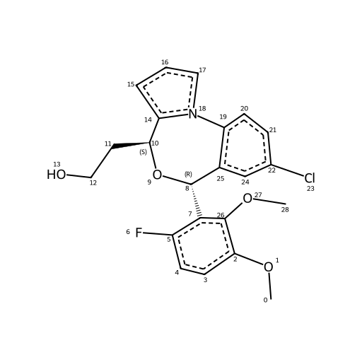 COc1ccc(F)c([C@@H]2O[C@@H](CCO)c3cccn3-c3ccc(Cl)cc32)c1OC